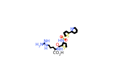 N=C(N)NCCC[C@H](NC(=O)c1sccc1NS(=O)(=O)c1ccc(-c2ccccn2)s1)C(=O)O